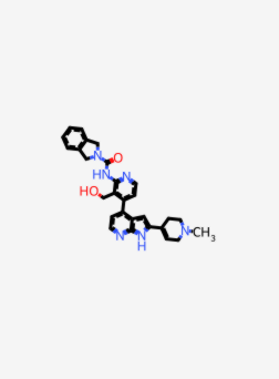 CN1CC=C(c2cc3c(-c4ccnc(NC(=O)N5Cc6ccccc6C5)c4CO)ccnc3[nH]2)CC1